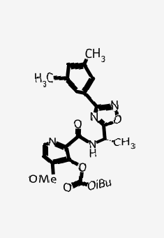 COc1ccnc(C(=O)N[C@@H](C)c2nc(-c3cc(C)cc(C)c3)no2)c1OC(=O)OCC(C)C